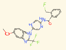 COc1ccc2c(c1)nc(C(F)(F)F)n2-c1cnc(NC(=O)c2ccccc2CF)cn1